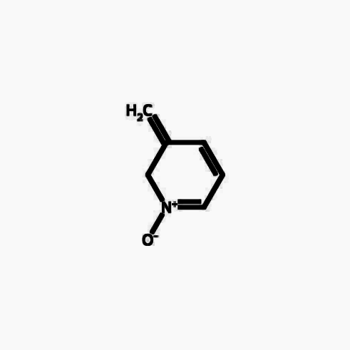 C=C1C=CC=[N+]([O-])C1